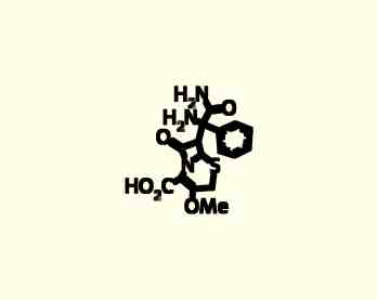 COC1=C(C(=O)O)N2C(=O)C(C(N)(C(N)=O)c3ccccc3)C2SC1